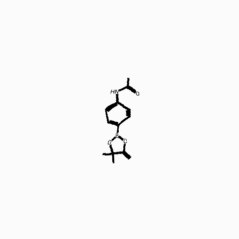 C=C1OB(c2ccc(NC(C)=O)cc2)OC1(C)C